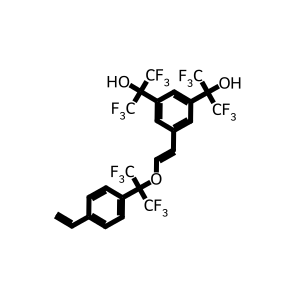 C=Cc1ccc(C(O/C=C/c2cc(C(O)(C(F)(F)F)C(F)(F)F)cc(C(O)(C(F)(F)F)C(F)(F)F)c2)(C(F)(F)F)C(F)(F)F)cc1